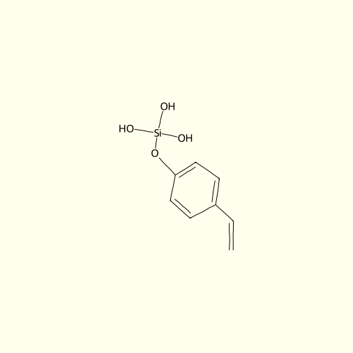 C=Cc1ccc(O[Si](O)(O)O)cc1